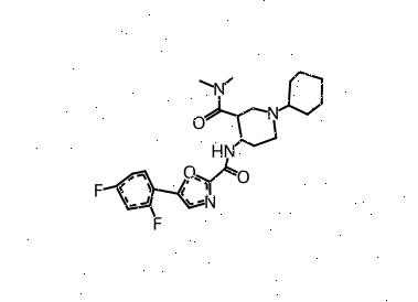 CN(C)C(=O)C1CN(C2CCCCC2)CCC1NC(=O)c1ncc(-c2ccc(F)cc2F)o1